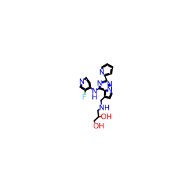 OCC(O)CNCc1ccn2nc(-c3ccccn3)nc(Nc3ccncc3F)c12